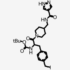 CC(C)(C)OC(=O)NC(Cc1ccc(CI)cc1)C(=O)N1CCC(CNC(=O)c2cn[nH]c2)CC1